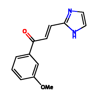 COc1cccc(C(=O)C=Cc2ncc[nH]2)c1